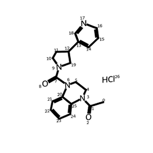 CC(=O)N1CCN(C(=O)N2CCC(c3cccnc3)C2)c2ccccc21.Cl